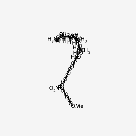 COCCOCCOCCOCCOCCOCCOc1cc([N+](=O)[O-])ccc1OCCOCCOCCOCCOCCOCCOCCOCCOCCNC(=O)CCNC(=O)c1nc(NC(=O)CCNC(=O)c2cc(NC(=O)c3nc(NC(=O)CCNC(=O)c4cc(NC(=O)c5nccn5C)cn4C)cn3C)cn2C)cn1C